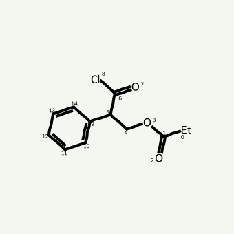 CCC(=O)OCC(C(=O)Cl)c1ccccc1